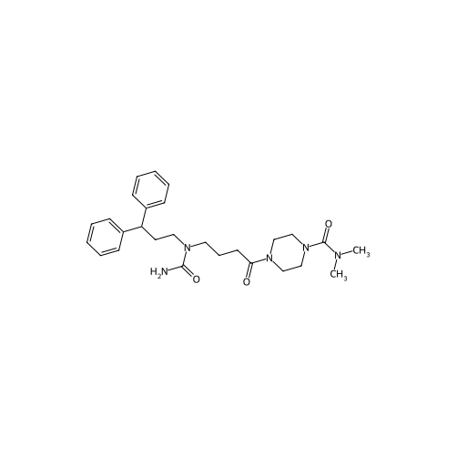 CN(C)C(=O)N1CCN(C(=O)CCCN(CCC(c2ccccc2)c2ccccc2)C(N)=O)CC1